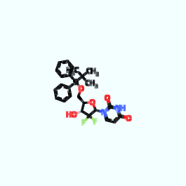 CC(C)(C)[Si](OC[C@H]1O[C@@H](n2ccc(=O)[nH]c2=O)C(F)(F)[C@@H]1O)(c1ccccc1)c1ccccc1